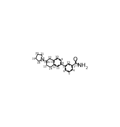 NC(=O)c1cccc(-c2ccc3c(c2)CC[C@H](N2CCCC2)C3)c1